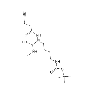 C#CCCC(=O)N[C@H](CCCCNC(=O)OC(C)(C)C)C(O)NC